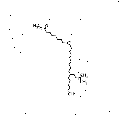 CCCCCCC(CCCCCCCCC1CC1CCCCCCCC(=O)OC)CCN(C)C